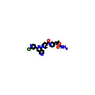 CC(C)(C[C@@H]1CCCN(C(=O)C2CCN(c3nc(-c4ccnc(Cl)c4)cc4cnccc34)CC2)C1)OC(N)=O